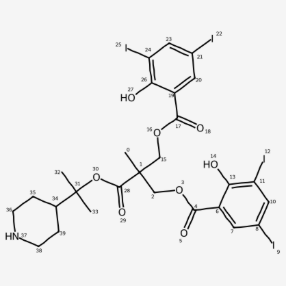 CC(COC(=O)c1cc(I)cc(I)c1O)(COC(=O)c1cc(I)cc(I)c1O)C(=O)OC(C)(C)C1CCNCC1